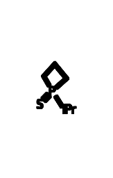 CC(C)P1(=S)CCC1